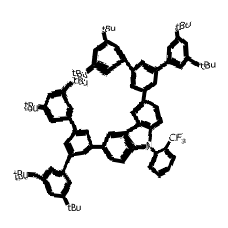 CC(C)(C)c1cc(-c2cc(-c3cc(C(C)(C)C)cc(C(C)(C)C)c3)cc(-c3ccc4c(c3)c3cc(-c5cc(-c6cc(C(C)(C)C)cc(C(C)(C)C)c6)cc(-c6cc(C(C)(C)C)cc(C(C)(C)C)c6)c5)ccc3n4-c3ccccc3C(F)(F)F)c2)cc(C(C)(C)C)c1